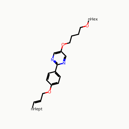 CCCCCCCC=CCOc1ccc(-c2ncc(OCCCCOCCCCCC)cn2)cc1